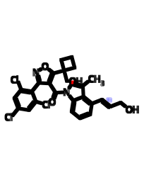 Cc1cn(C(=O)c2c(-c3c(Cl)cc(Cl)cc3Cl)noc2C2(CO)CCC2)c2cccc(/C=C/CO)c12